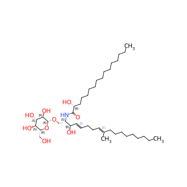 CCCCCCCCCCCCCC[C@@H](O)C(=O)N[C@@H](CO[C@@H]1O[C@H](CO)[C@@H](O)[C@H](O)[C@H]1O)[C@H](O)/C=C/CC/C=C(\C)CCCCCCCCC